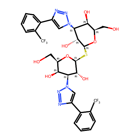 OC[C@H]1O[C@@H](S[C@@H]2O[C@H](CO)[C@H](O)[C@H](n3cc(-c4ccccc4C(F)(F)F)nn3)[C@H]2O)[C@H](O)[C@@H](n2cc(-c3ccccc3C(F)(F)F)nn2)[C@H]1O